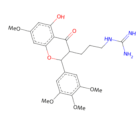 COc1cc(O)c2c(c1)OC(c1cc(OC)c(OC)c(OC)c1)C(CCCNC(=N)N)C2=O